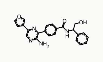 Nc1ncc(-c2ccoc2)nc1-c1ccc(C(=O)NC(CO)c2ccccc2)cc1